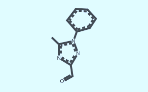 Cc1nc(C=O)nn1-c1ccccc1